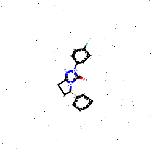 O=c1n(-c2ccc(F)cc2)nc2n1[C@H](c1ccccc1)CC2